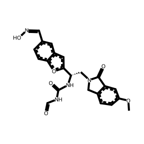 COc1ccc2c(c1)C(=O)N(C[C@H](NC(=O)NC=O)c1cc3cc(/C=N\O)ccc3o1)C2